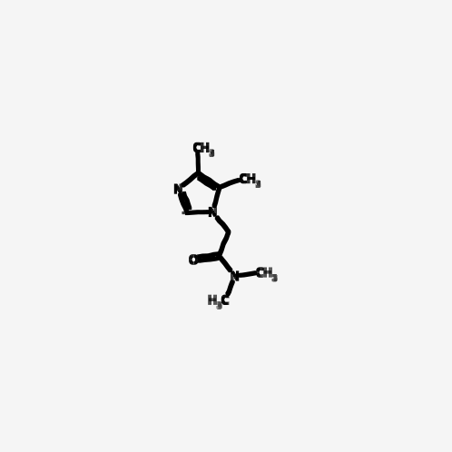 Cc1n[c]n(CC(=O)N(C)C)c1C